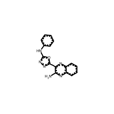 Nc1nc2ccccc2nc1-c1nnc(Nc2ccccc2)o1